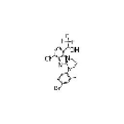 Cc1cc(Br)ccc1N1CCCn2c1nc1c(Cl)ccc(C(O)C(F)(F)F)c12